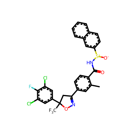 Cc1cc(C2=NOC(c3cc(Cl)c(F)c(Cl)c3)(C(F)(F)F)C2)ccc1C(=O)N[S+]([O-])c1ccc2ccccc2c1